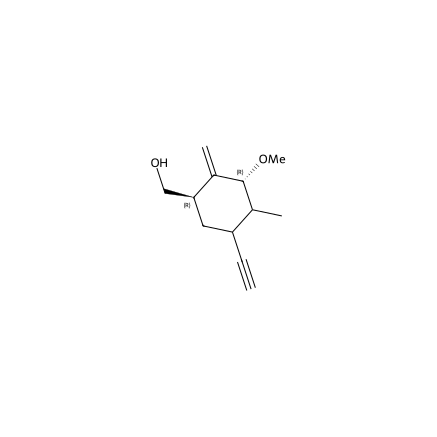 C#CC1C[C@@H](CO)C(=C)[C@H](OC)C1C